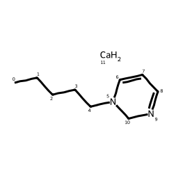 CCCCCN1C=CC=NC1.[CaH2]